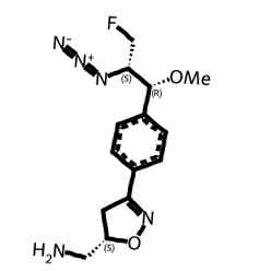 CO[C@H](c1ccc(C2=NO[C@H](CN)C2)cc1)[C@@H](CF)N=[N+]=[N-]